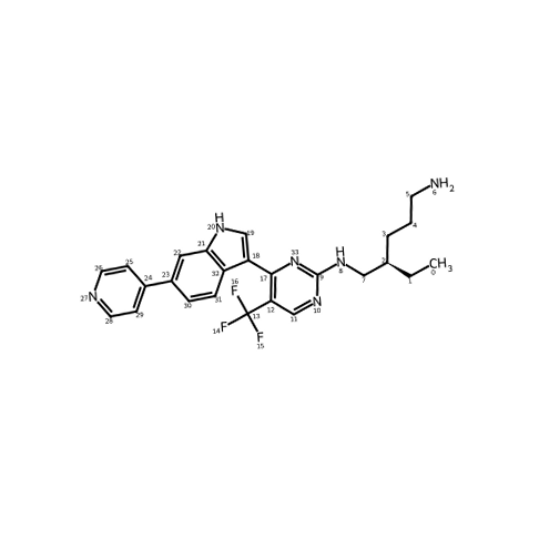 CC[C@H](CCCN)CNc1ncc(C(F)(F)F)c(-c2c[nH]c3cc(-c4ccncc4)ccc23)n1